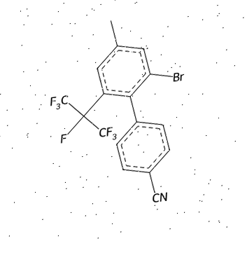 Cc1[c]c(Br)c(-c2ccc(C#N)cc2)c(C(F)(C(F)(F)F)C(F)(F)F)c1